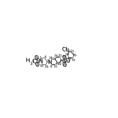 CS(=O)(=O)N1CCC(N2C=Cc3cc(S(=O)(=O)Oc4cccc(Cl)c4)ccc3C2)CC1